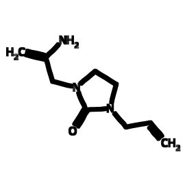 C=CCN1CCN(CC(=C)N)C1=O